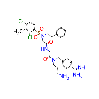 Cc1c(Cl)ccc(S(=O)(=O)N(CCc2ccccc2)CC(=O)NCC(=O)N(CCCN)Cc2ccc(C(=N)N)cc2)c1Cl